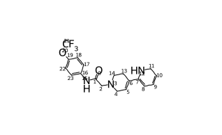 O=C(CN1CC=C(C2=CC=CCN2)CC1)Nc1ccc(OC(F)(F)F)cc1